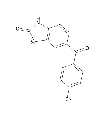 N#Cc1ccc(C(=O)c2ccc3[nH]c(=O)[se]c3c2)cc1